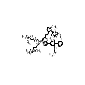 COCOc1cc(-c2cnn3c(N(COCC[Si](C)(C)C)COCC[Si](C)(C)C)cc(CCC4CCC(C)N4C(=O)OC(C)(C)C)nc23)cnc1-c1ccccc1